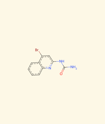 NC(=O)Nc1cc(Br)c2ccccc2n1